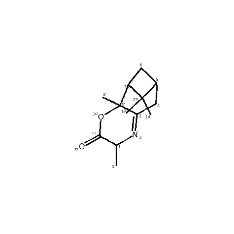 CC1N=C2CC3CC(C2(C)OC1=O)C3(C)C